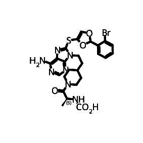 C[C@H](NC(=O)O)C(=O)N1CCC(CCn2c(SC3=COC(c4ccccc4Br)O3)nc3c(N)ncnc32)CC1